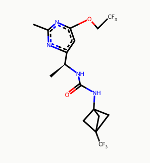 Cc1nc(OCC(F)(F)F)cc([C@H](C)NC(=O)NC23CC(C(F)(F)F)(C2)C3)n1